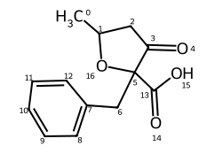 CC1CC(=O)C(Cc2ccccc2)(C(=O)O)O1